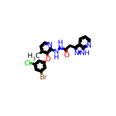 Cc1ccnc(NNC(=O)Cc2n[nH]c3ncccc23)c1Oc1cc(Cl)cc(Br)c1